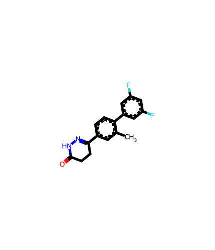 Cc1cc(C2=NNC(=O)CC2)ccc1-c1cc(F)cc(F)c1